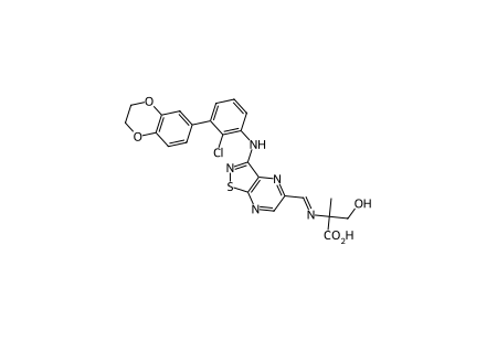 CC(CO)(N=Cc1cnc2snc(Nc3cccc(-c4ccc5c(c4)OCCO5)c3Cl)c2n1)C(=O)O